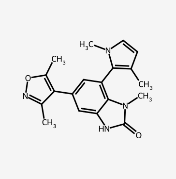 Cc1ccn(C)c1-c1cc(-c2c(C)noc2C)cc2[nH]c(=O)n(C)c12